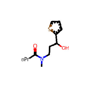 CCCC(=O)N(C)CCC(O)c1cccs1